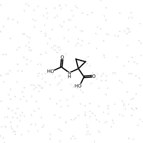 O=C(O)NC1(C(=O)O)CC1